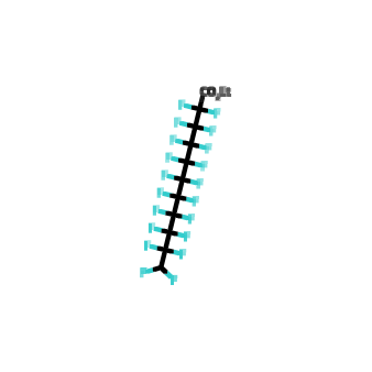 CCOC(=O)C(F)(F)C(F)(F)C(F)(F)C(F)(F)C(F)(F)C(F)(F)C(F)(F)C(F)(F)C(F)(F)C(F)F